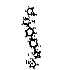 c1cc(-c2cnc([C@@H]3CCCN3)[nH]2)ccc1-c1ccc(-c2cnc([C@@H]3CCCN3)[nH]2)cn1